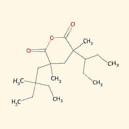 CCC(CC)C1(C)CC(C)(CC(C)(CC)CC)C(=O)OC1=O